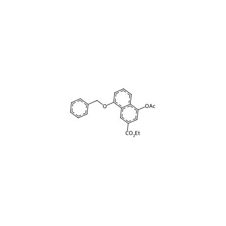 CCOC(=O)c1cc(OC(C)=O)c2cccc(OCc3ccccc3)c2c1